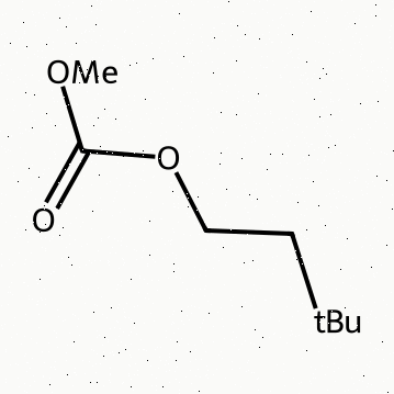 COC(=O)OCCC(C)(C)C